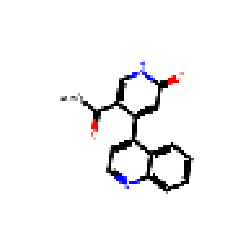 COC(=O)c1c[nH]c(=O)cc1-c1ccnc2ccccc12